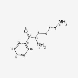 NCCCCC(N)C(=O)c1ccccc1